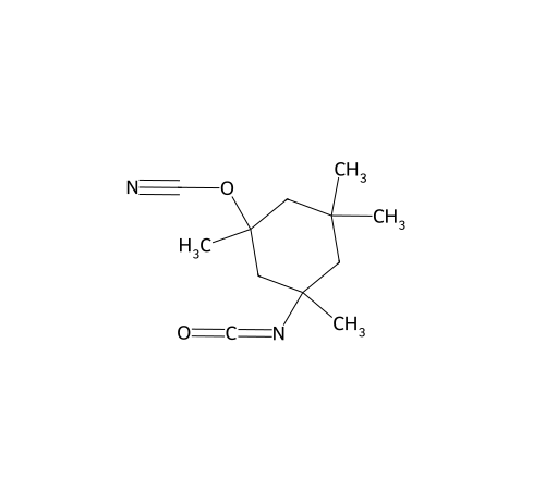 CC1(C)CC(C)(N=C=O)CC(C)(OC#N)C1